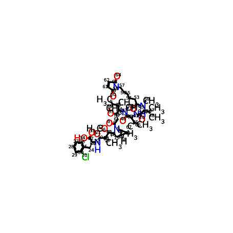 CC[C@H](C)C([C@@H](CC(=O)N1C2C[C@H]2C[C@H]1[C@H](OC)[C@@H](C)C(=O)N[C@@H](Cc1ccccc1Cl)C(=O)O)OC)N(C)C(=O)[C@@H](NC(=O)[C@H](C(C)C)N(C)C(=O)CCCCCN1C(=O)C=CC1=O)C(C)C